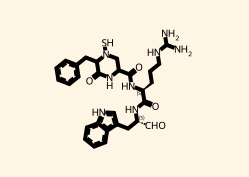 NC(N)NCCC[C@H](NC(=O)C1CN(S)C(Cc2ccccc2)C(=O)N1)C(=O)N[C@H](C=O)Cc1c[nH]c2ccccc12